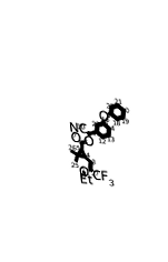 CCOC(=CC1C(C(=O)OC(C#N)c2cccc(Oc3ccccc3)c2)C1(C)C)C(F)(F)F